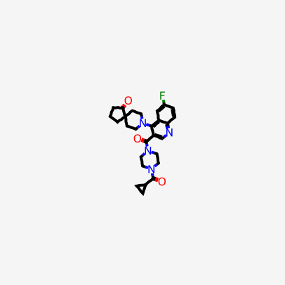 O=C(c1cnc2ccc(F)cc2c1N1CCC2(CCCC2=O)CC1)N1CCN(C(=O)C2CC2)CC1